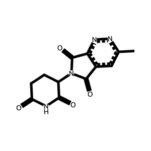 Cc1cc2c(nn1)C(=O)N(C1CCC(=O)NC1=O)C2=O